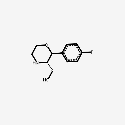 OC[C@@H]1NCCO[C@H]1c1ccc(F)cc1